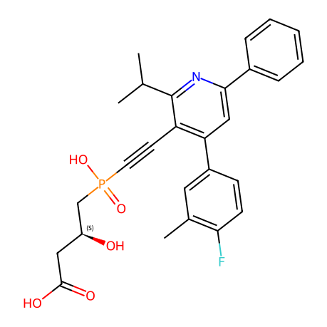 Cc1cc(-c2cc(-c3ccccc3)nc(C(C)C)c2C#CP(=O)(O)C[C@@H](O)CC(=O)O)ccc1F